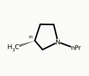 [CH2]CCN1CC[C@@H](C)C1